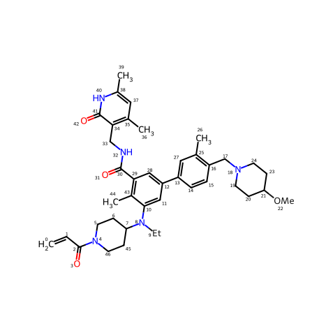 C=CC(=O)N1CCC(N(CC)c2cc(-c3ccc(CN4CCC(OC)CC4)c(C)c3)cc(C(=O)NCc3c(C)cc(C)[nH]c3=O)c2C)CC1